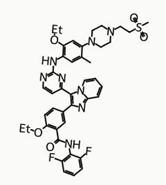 CCOc1cc(N2CCN(CCS(C)(=O)=O)CC2)c(C)cc1Nc1nccc(-c2c(-c3ccc(OCC)c(C(=O)Nc4c(F)cccc4F)c3)nc3ccccn23)n1